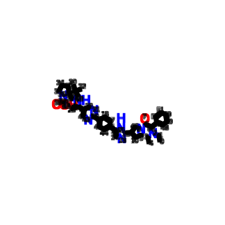 CCN(CC)[C@@H](C(=O)N1CCC(c2ncc(-c3ccc(-c4ncc(-c5cnc([C@@]6(C(C)(C)C)CCCN6C(=O)O)[nH]5)cn4)cc3)[nH]2)C1)c1ccccc1